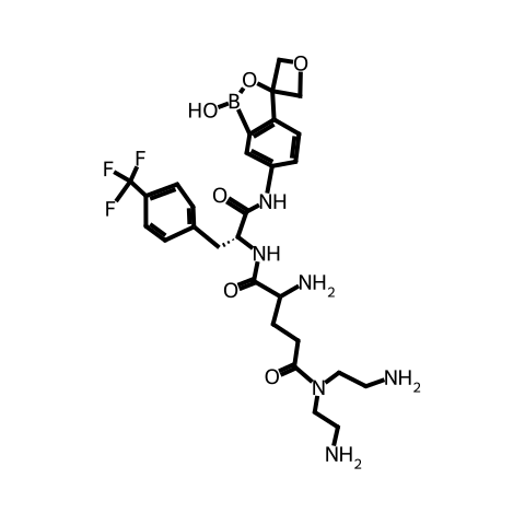 NCCN(CCN)C(=O)CCC(N)C(=O)N[C@H](Cc1ccc(C(F)(F)F)cc1)C(=O)Nc1ccc2c(c1)B(O)OC21COC1